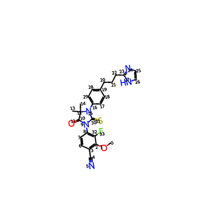 COc1c(C#N)ccc(N2C(=O)C(C)(C)N(c3ccc(CCCc4ncc[nH]4)cc3)C2=S)c1F